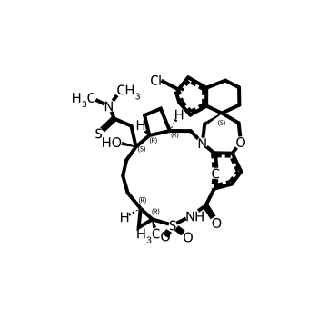 CN(C)C(=S)C[C@@]1(O)CCC[C@@H]2C[C@@]2(C)S(=O)(=O)NC(=O)c2ccc3c(c2)N(C[C@@H]2CC[C@H]21)C[C@@]1(CCCc2cc(Cl)ccc21)CO3